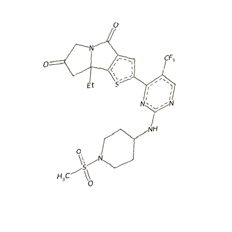 CCC12CC(=O)CN1C(=O)c1cc(-c3nc(NC4CCN(S(C)(=O)=O)CC4)ncc3C(F)(F)F)sc12